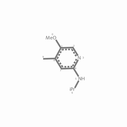 COc1cnc(NC(C)C)cc1C